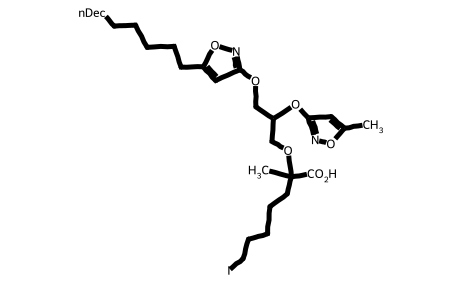 CCCCCCCCCCCCCCCc1cc(OCC(COC(C)(CCCCCI)C(=O)O)Oc2cc(C)on2)no1